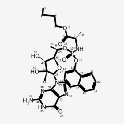 CCCCOC(=O)[C@H](C)NP(=O)(Oc1cccc2ccccc12)O[C@H](C)[C@H]1O[C@@H](n2cnc3c(=O)[nH]c(N)nc32)[C@](C)(O)[C@@H]1O